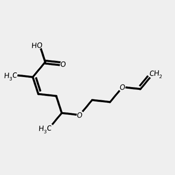 C=COCCOC(C)CC=C(C)C(=O)O